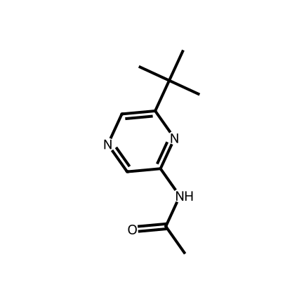 CC(=O)Nc1cncc(C(C)(C)C)n1